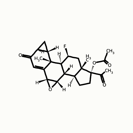 CC(=O)O[C@]1(C(C)=O)CC[C@H]2[C@@H]3[C@@H]4O[C@@H]4C4=CC(=O)[C@@H]5C[C@@H]5[C@]4(C)[C@H]3[C@@H](F)C[C@@]21C